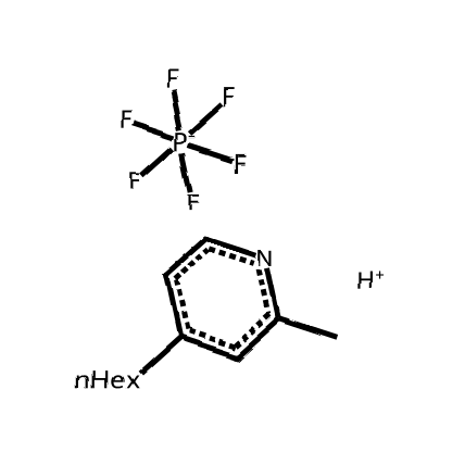 CCCCCCc1ccnc(C)c1.F[P-](F)(F)(F)(F)F.[H+]